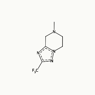 CN1CCn2nc(C(F)(F)F)nc2C1